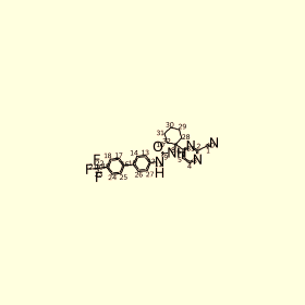 N#Cc1nccc(C2(NC(=O)Nc3ccc(-c4ccc(C(F)(F)F)cc4)cc3)CCCCC2)n1